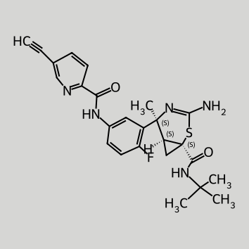 C#Cc1ccc(C(=O)Nc2ccc(F)c([C@@]3(C)N=C(N)S[C@@]4(C(=O)NC(C)(C)C)C[C@H]43)c2)nc1